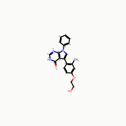 Cc1cc(OCCO)ccc1-c1cn(-c2ccccc2)c2nc[nH]c(=O)c12